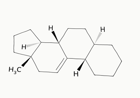 C[C@]12CC=C3[C@H]4CCCC[C@@H]4CC[C@H]3[C@@H]1CCC2